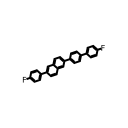 Fc1ccc(-c2ccc(-c3ccc4cc(-c5ccc(F)cc5)ccc4c3)cc2)cc1